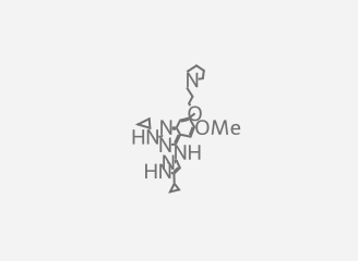 COc1cc2c(Nc3cc(C4CC4)[nH]n3)nc(NC3CC3)nc2cc1OCCCN1CCCC1